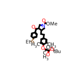 CCSc1ccc(C(=O)C2CN(C(=O)OC)CC2CCc2cc(C)c(OC(C)(C)C(=O)OC(C)(C)C)c(C)c2)cc1